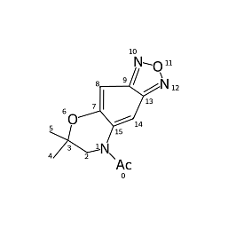 CC(=O)N1CC(C)(C)Oc2cc3nonc3cc21